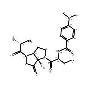 CC[C@H](N)C(=O)N1CC(=O)[C@@H]2C1CCN2C(=O)[C@H](CC(C)C)NC(=O)c1ccc(N(C)C)cc1